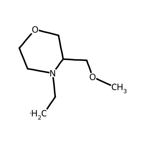 [CH2]CN1CCOCC1COC